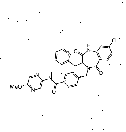 COc1cnc(NC(=O)c2ccc(CN3C(=O)c4ccc(Cl)cc4NC(=O)C3Cc3ccccn3)cc2)cn1